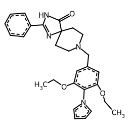 CCOc1cc(CN2CCC3(CC2)N=C(c2ccccc2)NC3=O)cc(OCC)c1-n1cccc1